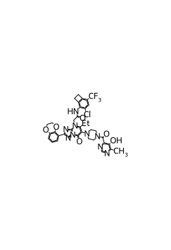 CCc1c(N2CCN(C(=O)c3ncnc(C)c3O)CC2)c(=O)n2nc(-c3cccc4c3OCCO4)nc2n1CC(=O)Nc1c(Cl)cc(C(F)(F)F)c2c1CC2